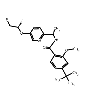 COc1cc(C(C)(C)C)ccc1C(=O)N[C@H](C)c1ccc(O[C@H](F)CF)cn1